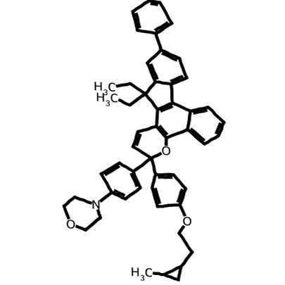 CCC1(CC)c2cc(-c3ccccc3)ccc2-c2c1c1c(c3ccccc23)OC(c2ccc(OCCC3CC3C)cc2)(c2ccc(N3CCOCC3)cc2)C=C1